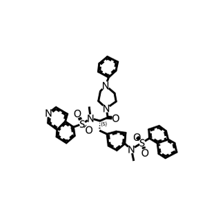 CN(c1ccc(C[C@@H](C(=O)N2CCN(c3ccccc3)CC2)N(C)S(=O)(=O)c2cccc3cnccc23)cc1)S(=O)(=O)c1cccc2ccccc12